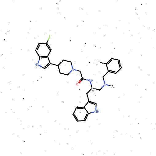 CC(=O)N(Cc1ccccc1C(F)(F)F)C[C@@H](Cc1c[nH]c2ccccc12)NC(=O)CN1CCC(c2c[nH]c3ccc(F)cc23)CC1